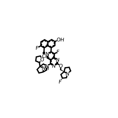 C#Cc1c(F)ccc2cc(O)cc(-c3ncc4c(N5CC6CCC(C7CCCO7)(C5)N6)nc(OC[C@@]56CCCN5C[C@H](F)C6)nc4c3F)c12